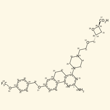 Nc1nc2c(c(N3CCN(CCOC[C@H]4C[C@H](C(=O)O)O4)CC3)n1)CCc1cc(OCc3ccc(OC(F)(F)F)cc3)ccc1-2